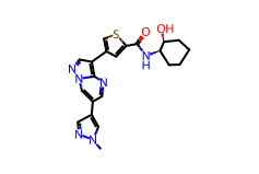 Cn1cc(-c2cnc3c(-c4csc(C(=O)N[C@@H]5CCCC[C@@H]5O)c4)cnn3c2)cn1